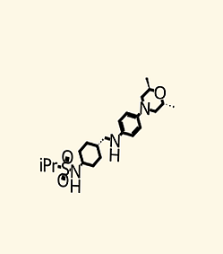 CC(C)S(=O)(=O)N[C@H]1CC[C@H](CNc2ccc(N3C[C@@H](C)O[C@H](C)C3)cc2)CC1